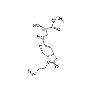 CCCN1C(=O)Cc2cc(NC[C@@H](O)C(=O)OC)ccc21